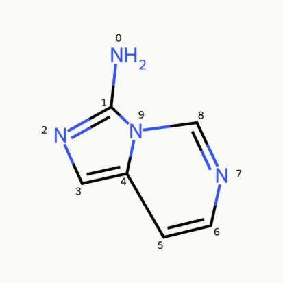 Nc1ncc2ccncn12